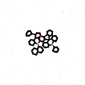 c1ccc(-c2ccccc2-c2ccccc2N(c2ccc3c(c2)C2(c4ccccc4-3)c3ccccc3N(c3ccccc3)c3ccccc32)c2cccc3ccccc23)cc1